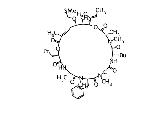 C/C=C(\C)[C@H]1OC(=O)[C@H](C)N(C)C(=O)[C@H](C(C)CC)NC(=O)CN(C)C(=O)[C@@H](Cc2ccccc2)N(C)C(=O)[C@H](C)NC(=O)[C@@H](CC(C)C)OC(=O)/C(C)=C/C[C@@H](OCSC)[C@H]1C